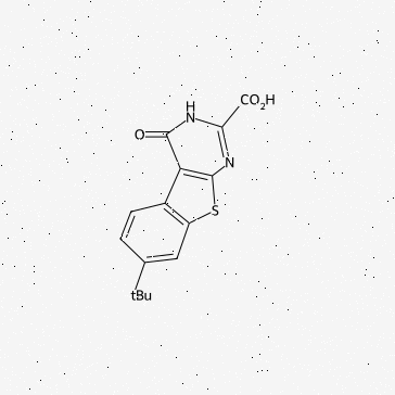 CC(C)(C)c1ccc2c(c1)sc1nc(C(=O)O)[nH]c(=O)c12